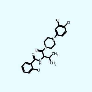 CC(C)C(NC(=O)c1ccccc1Cl)C(=O)N1CCN(c2ccc(Cl)c(Cl)c2)CC1